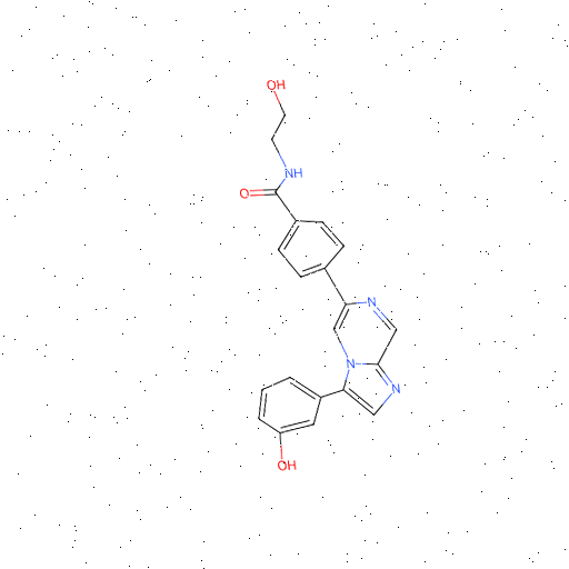 O=C(NCCO)c1ccc(-c2cn3c(-c4cccc(O)c4)cnc3cn2)cc1